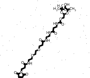 CC(CO)OC(COC(=O)NCCC(=O)NCCNC(=O)CCOCCOCCNC(=O)CCN1C(=O)C=CC1=O)OC(C)(C)C